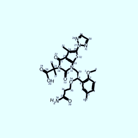 COc1ccc(F)cc1[C@H](Cn1c(=O)n(C(C)(C)C(=O)O)c(=O)c2c(C)c(-n3nccn3)sc21)OCCC(N)=O